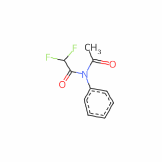 CC(=O)N(C(=O)C(F)F)c1ccccc1